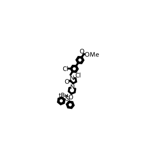 COC(=O)c1ccc(-c2cc(Cl)c(CN3CCC(N4CCC(O[Si](c5ccccc5)(c5ccccc5)C(C)(C)C)CC4)C3=O)c(Cl)c2)cc1